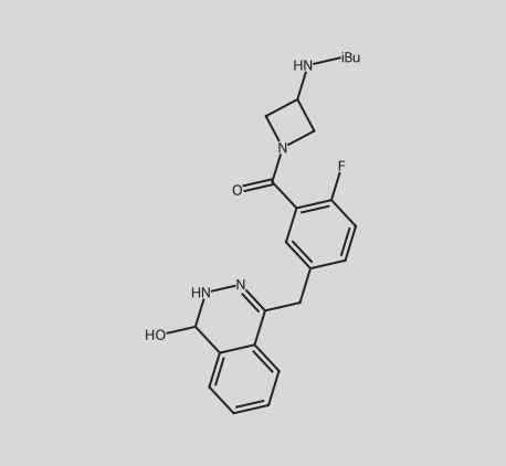 CCC(C)NC1CN(C(=O)c2cc(CC3=NNC(O)c4ccccc43)ccc2F)C1